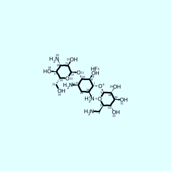 F.NC[C@H]1O[C@H](O[C@H]2[C@H](O)[C@@H](O[C@H]3O[C@H](CO)[C@@H](O)[C@H](N)[C@H]3O)[C@H](N)C[C@@H]2N)[C@H](O)[C@@H](O)[C@@H]1O